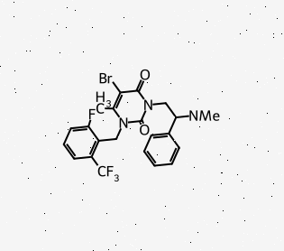 CNC(Cn1c(=O)c(Br)c(C)n(Cc2c(F)cccc2C(F)(F)F)c1=O)c1ccccc1